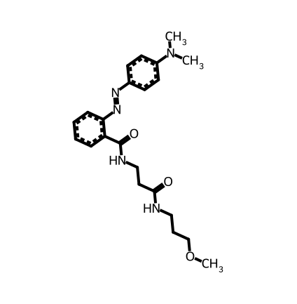 COCCCNC(=O)CCNC(=O)c1ccccc1N=Nc1ccc(N(C)C)cc1